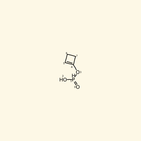 O=[PH](O)OC1=CCC1